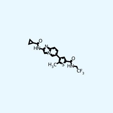 Cc1sc(C(=O)NCC(F)(F)F)cc1-c1ccc2nc(NC(=O)C3CC3)cn2c1